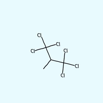 CC(C(Cl)(Cl)Cl)C(Cl)(Cl)Cl